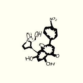 CN1CC[C@H](c2c(O)cc(O)c3c(=O)cc(-c4ccc([N+](=O)[O-])cc4)oc23)[C@H]1CO